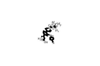 CC[C@H](CC(=O)O)c1ccc(C2CCN(C(=O)OC(C)(C)C)CC2)c(Nc2ccc(C#N)cc2)c1